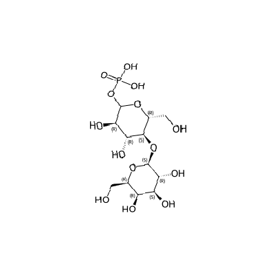 O=P(O)(O)OC1O[C@H](CO)[C@@H](O[C@@H]2O[C@H](CO)[C@H](O)[C@H](O)[C@H]2O)[C@H](O)[C@H]1O